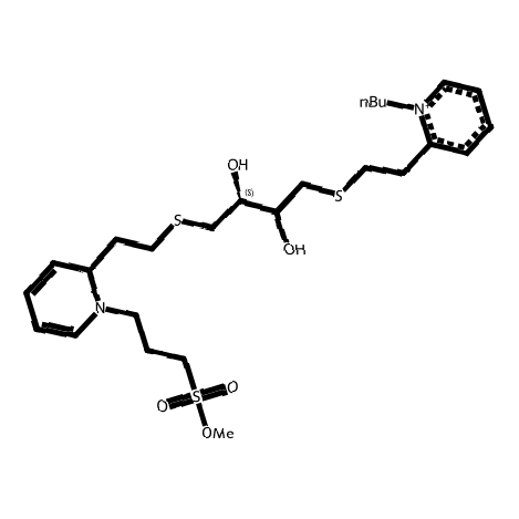 CCCC[n+]1ccccc1CCSCC(O)[C@H](O)CSCCC1C=CC=CN1CCCS(=O)(=O)OC